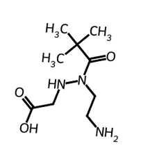 CC(C)(C)C(=O)N(CCN)NCC(=O)O